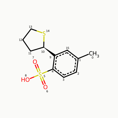 Cc1ccc(S(=O)(=O)O)c([C@H]2CCCS2)c1